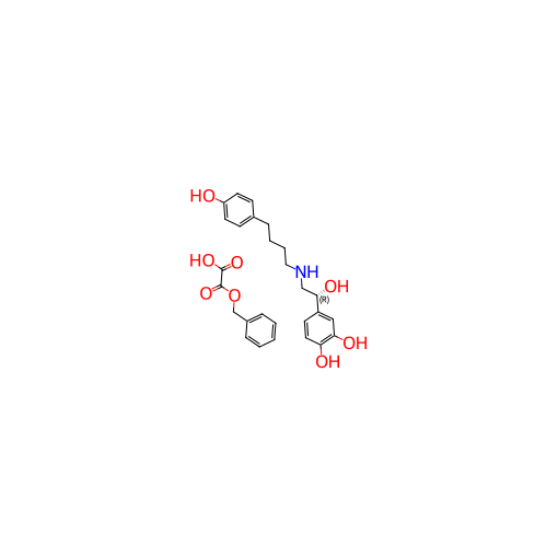 O=C(O)C(=O)OCc1ccccc1.Oc1ccc(CCCCNC[C@H](O)c2ccc(O)c(O)c2)cc1